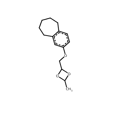 CC1OC(COc2ccc3c(c2)CCCCC3)O1